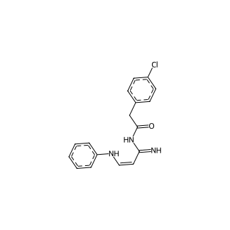 N=C(/C=C\Nc1ccccc1)NC(=O)Cc1ccc(Cl)cc1